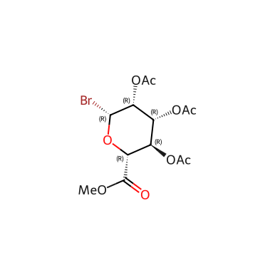 COC(=O)[C@@H]1O[C@H](Br)[C@H](OC(C)=O)[C@H](OC(C)=O)[C@H]1OC(C)=O